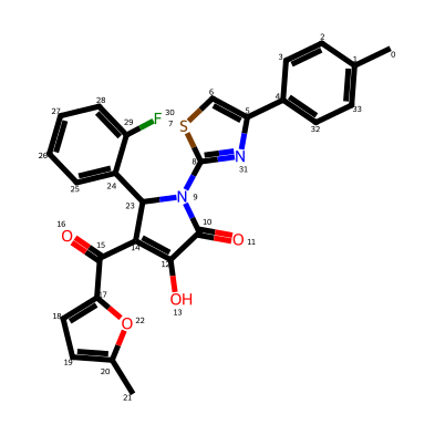 Cc1ccc(-c2csc(N3C(=O)C(O)=C(C(=O)c4ccc(C)o4)C3c3ccccc3F)n2)cc1